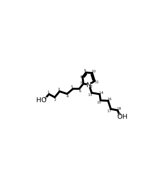 OCCCCCCC1C=CC=CN1CCCCCCO